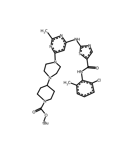 Cc1nc(Nc2ncc(C(=O)Nc3c(C)cccc3Cl)s2)cc(N2CCN(C3CCN(C(=O)OC(C)(C)C)CC3)CC2)n1